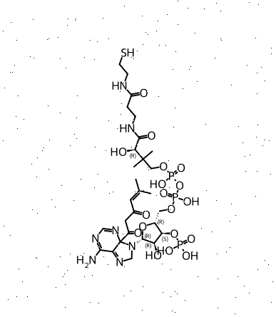 CC(C)=CC(=O)CC(=O)C12N=CN=C(N)C1=NCN2[C@@H]1O[C@H](COP(=O)(O)OP(=O)(O)OCC(C)(C)[C@@H](O)C(=O)NCCC(=O)NCCS)[C@@H](OP(=O)(O)O)[C@H]1O